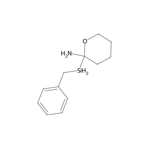 NC1([SiH2]Cc2ccccc2)CCCCO1